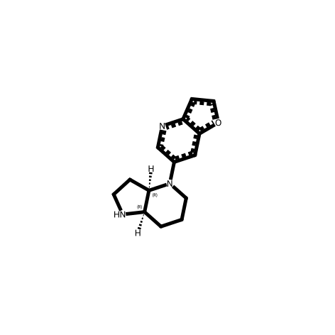 c1cc2ncc(N3CCC[C@H]4NCC[C@H]43)cc2o1